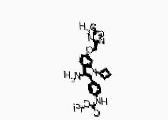 Cc1nc(COc2ccc3c(N)c(-c4ccc(NC(=O)OC(C)C)cc4)n(C4CCC4)c3c2)no1